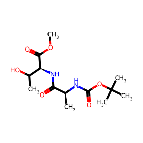 COC(=O)[C@@H](NC(=O)[C@H](C)NC(=O)OC(C)(C)C)C(C)O